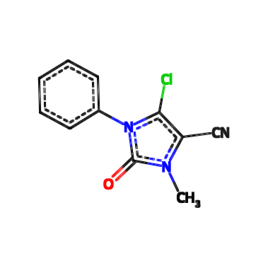 Cn1c(C#N)c(Cl)n(-c2ccccc2)c1=O